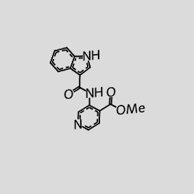 COC(=O)c1ccncc1NC(=O)c1c[nH]c2ccccc12